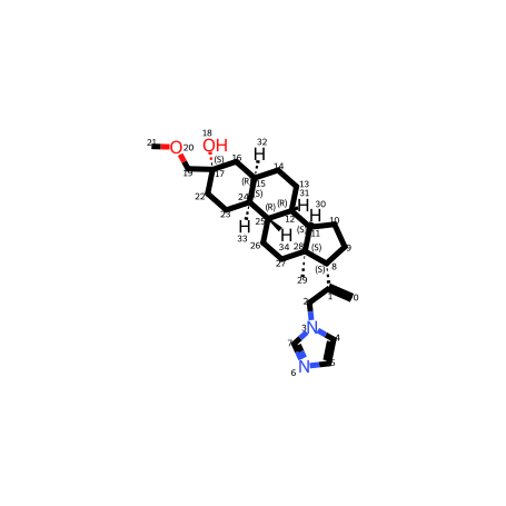 C=C(Cn1ccnc1)[C@H]1CC[C@H]2[C@@H]3CC[C@@H]4C[C@](O)(COC)CC[C@@H]4[C@H]3CC[C@]12C